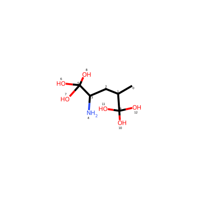 CC(CC(N)C(O)(O)O)C(O)(O)O